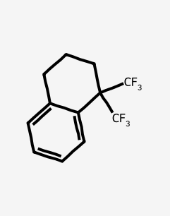 FC(F)(F)C1(C(F)(F)F)CCCc2ccccc21